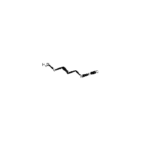 O=C=NCC=CO[SiH3]